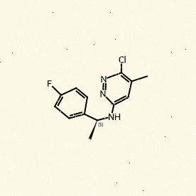 Cc1cc(N[C@@H](C)c2ccc(F)cc2)nnc1Cl